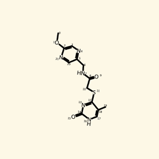 COc1cnc(CNC(=O)CSc2nc(=O)[nH]cc2C)cn1